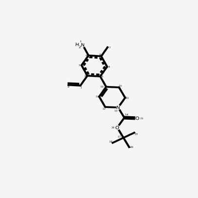 C=Cc1cc(N)c(C)cc1C1=CCN(C(=O)OC(C)(C)C)CC1